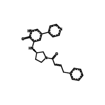 O=C(/C=C/Cc1ccccc1)N1CC[C@@H](Nc2cc(-c3ccncc3)c[nH]c2=O)C1